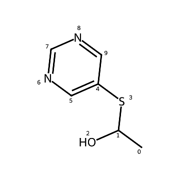 CC(O)Sc1cncnc1